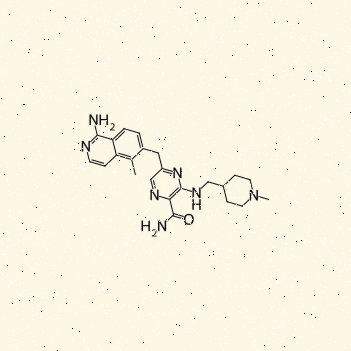 Cc1c(Cc2cnc(C(N)=O)c(NCC3CCN(C)CC3)n2)ccc2c(N)nccc12